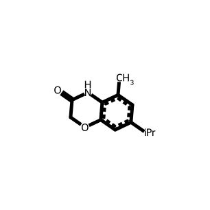 Cc1cc(C(C)C)cc2c1NC(=O)CO2